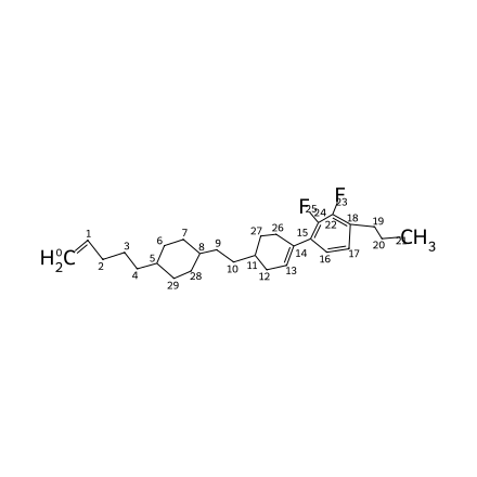 C=CCCCC1CCC(CCC2CC=C(c3ccc(CCC)c(F)c3F)CC2)CC1